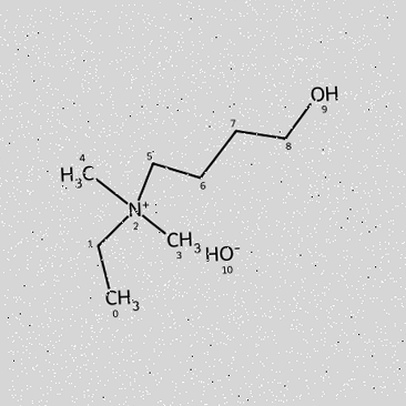 CC[N+](C)(C)CCCCO.[OH-]